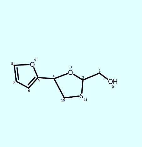 OCC1OC(c2ccco2)CS1